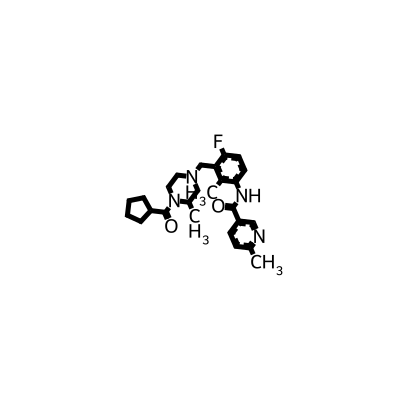 Cc1ccc(C(=O)Nc2ccc(F)c(CN3CCN(C(=O)C4CCCC4)C(C)C3)c2C)cn1